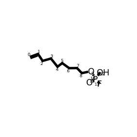 C=CCCCCCCCOP(=O)(O)F